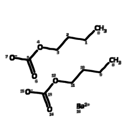 CCCCOC(=O)[O-].CCCCOC(=O)[O-].[Ba+2]